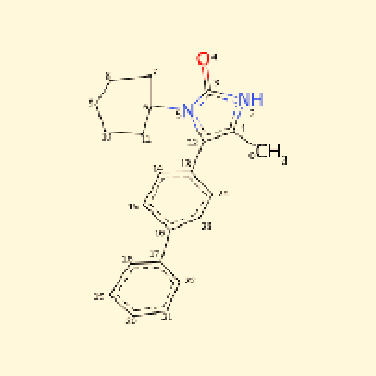 Cc1[nH]c(=O)n(C2CCCCC2)c1-c1ccc(-c2ccccc2)cc1